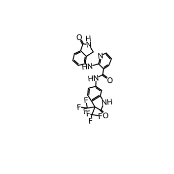 O=C(Nc1ccc2c(c1)NC(=O)C2(C(F)(F)F)C(F)(F)F)c1cccnc1Nc1cccc2c1CNC2=O